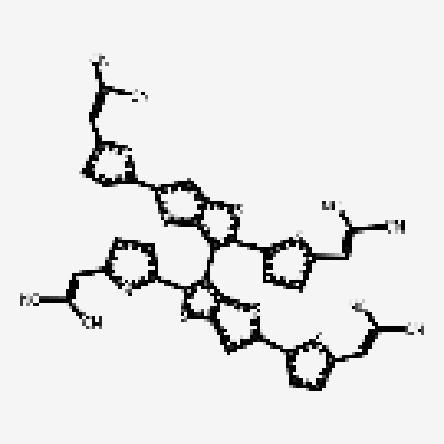 N#CC(C#N)=Cc1ccc(-c2cc3sc(-c4ccc(C=C(C#N)C#N)s4)c(-c4c(-c5ccc(C=C(C#N)C#N)s5)sc5cc(-c6ccc(C=C(C#N)C#N)s6)sc45)c3s2)s1